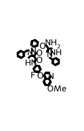 COc1ccc2c(Oc3ccc(NC(=O)c4c(C)n(Cc5ccccc5)n(-c5ccccc5)c4=O)cc3F)ccnc2c1.NC(=O)C1=CN(Cc2ccccc2)NC1